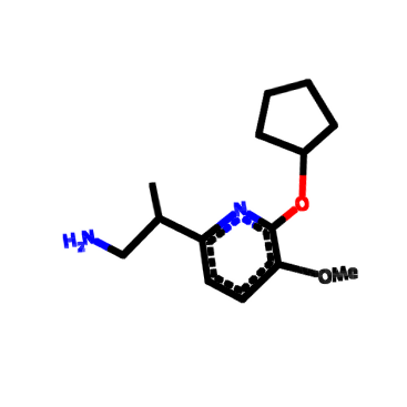 COc1ccc(C(C)CN)nc1OC1CCCC1